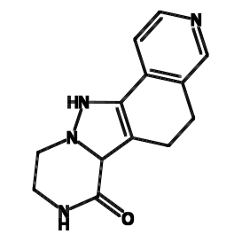 O=C1NCCN2NC3=C(CCc4cnccc43)C12